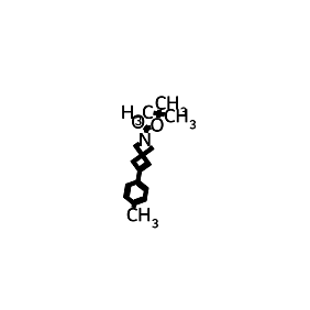 Cc1ccc(C2=CC3(C2)CN(C(=O)OC(C)(C)C)C3)cc1